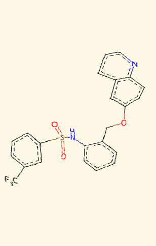 O=S(=O)(Nc1ccccc1COc1ccc2ncccc2c1)c1cccc(C(F)(F)F)c1